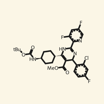 COC(=O)C1=C([C@H]2CC[C@H](NC(=O)OC(C)(C)C)CC2)NC(c2ncc(F)cc2F)=NC1c1ccc(F)cc1Cl